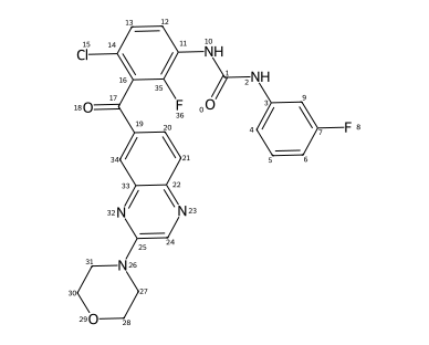 O=C(Nc1cccc(F)c1)Nc1ccc(Cl)c(C(=O)c2ccc3ncc(N4CCOCC4)nc3c2)c1F